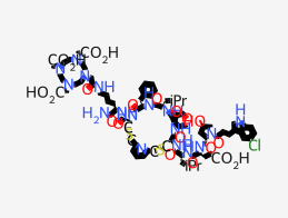 CC(C)C[C@@H]1NC(=O)C2(CCOCC2)NC(=O)[C@@H](NC(=O)[C@@H](CC(C)C)NC(=O)[C@H](CCC(=O)O)NC(=O)[C@@H]2C[C@@H](O)CN2C(=O)CCc2c[nH]c3ccc(Cl)cc23)CSCc2cccc(n2)CSC[C@@H](C(=O)N[C@H](CCCCNC(=O)CN2CCN(CC(=O)O)CCN(CC(=O)O)CCN(CC(=O)O)CC2)C(N)=O)NC(=O)[C@H](Cc2ccccc2)NC1=O